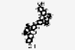 Oc1ccc2cc3c(cc2c1)Oc1cc(-c2ccc4c(c2)Oc2c(ccc5cc(O)ccc25)C42c4ccccc4-c4ccccc42)ccc1C31c2ccccc2-c2ccccc21